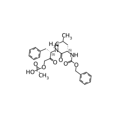 CC(C)C[C@H](NC(=O)OCc1ccccc1)C(=O)N[C@@H](Cc1ccccc1)C(=O)COP(C)(=O)O